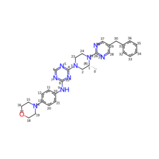 C[C@@H]1CN(c2ncnc(Nc3ccc(N4CCOCC4)cc3)n2)CCN1c1ncc(Cc2ccccc2)cn1